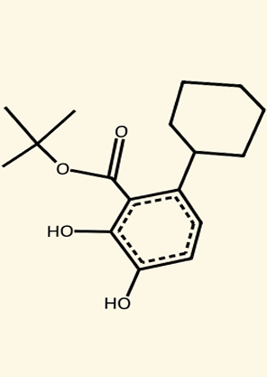 CC(C)(C)OC(=O)c1c(C2CCCCC2)ccc(O)c1O